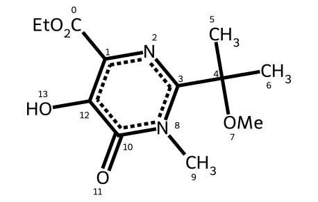 CCOC(=O)c1nc(C(C)(C)OC)n(C)c(=O)c1O